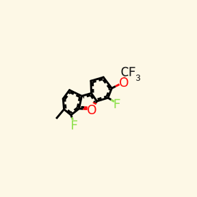 Cc1ccc2c(oc3c(F)c(OC(F)(F)F)ccc32)c1F